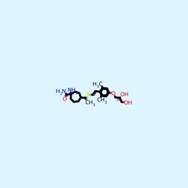 Cc1cc(OC[C@H](O)CO)cc(C)c1/C=C/S[C@@H](C)C1CCCC(N)(C(N)=O)CC1